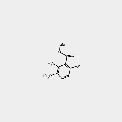 CC(C)(C)OC(=O)c1c(Br)ccc(C(=O)O)c1N